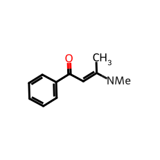 CNC(C)=CC(=O)c1ccccc1